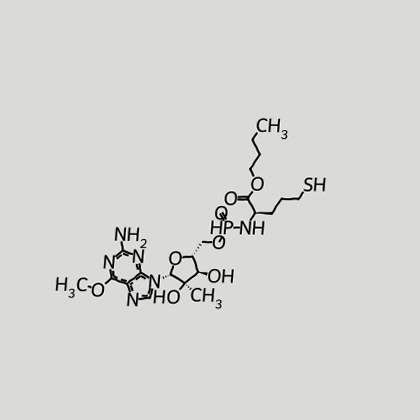 CCCCOC(=O)[C@@H](CCCS)N[PH](=O)OC[C@H]1O[C@@H](n2cnc3c(OC)nc(N)nc32)[C@](C)(O)[C@@H]1O